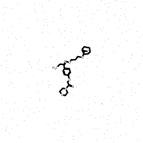 CCC(=NOCCCOC1CC2CCC1CC2)c1ccc(OCC(=O)N2CCOCC2)cc1